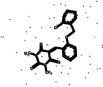 CN1C(=O)C(=Cc2ccccc2OCc2ccccc2Cl)C(=O)N(C)C1=O